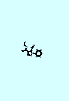 CCNC(=O)c1cnn(-c2ccccc2)c1C#N